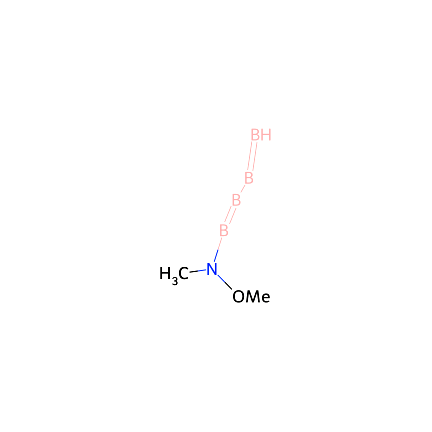 B=BB=BN(C)OC